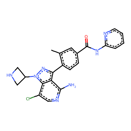 Cc1cc(C(=O)Nc2ccccn2)ccc1-c1nn(C2CNC2)c2c(Cl)cnc(N)c12